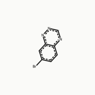 Brc1ccc2n[c]nnc2c1